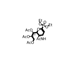 CCOP(=O)(OCC)C1=CC[C@@H](NC(C)=O)C([C@H](OC(C)=O)[C@@H](COC(C)=O)OC(C)=O)O1